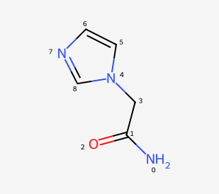 NC(=O)Cn1ccnc1